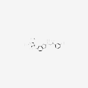 CC(C)OC(=O)C1(C(=O)OC(C)C)Oc2ccc3c(c2O1)C[C@H](NCC(O)c1cccc(Cl)c1)C3